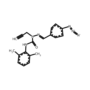 C#CCN(/N=C/c1ccc(N=[N+]=[N-])cc1)C(=O)Nc1c(C)cccc1C